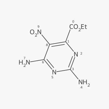 CCOC(=O)c1nc(N)nc(N)c1[N+](=O)[O-]